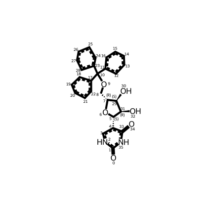 O=c1[nH]cc([C@@H]2O[C@H](COC(c3ccccc3)(c3ccccc3)c3ccccc3)[C@@H](O)[C@H]2O)c(=O)[nH]1